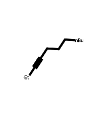 C[CH]C#CCCCCCCC